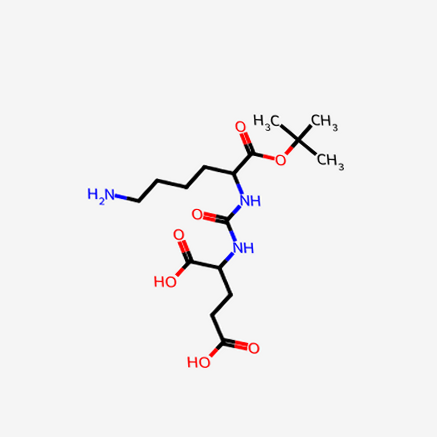 CC(C)(C)OC(=O)C(CCCCN)NC(=O)NC(CCC(=O)O)C(=O)O